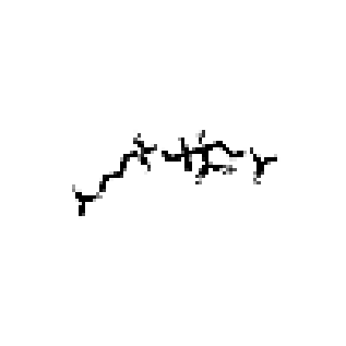 CC(=O)NCCCS(=O)(=O)OCC(C)(C)[C@](O)(CCOC(C)=O)C(=O)O